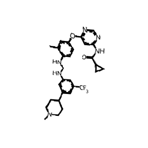 Cc1cc(Oc2cc(NC(=O)C3CC3)ncn2)ccc1NCNc1cc(C2CCN(C)CC2)cc(C(F)(F)F)c1